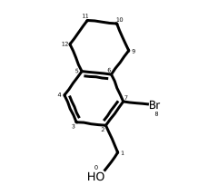 OCc1ccc2c(c1Br)CCCC2